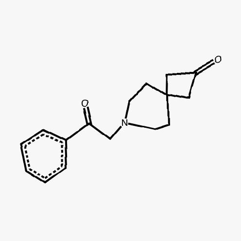 O=C1CC2(CCN(CC(=O)c3ccccc3)CC2)C1